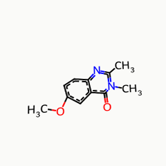 COc1ccc2nc(C)n(C)c(=O)c2c1